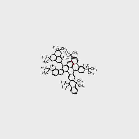 Cc1cc2c3c(c1)N(c1ccc(C(C)(C)C)cc1-c1ccc(C(C)(C)C)cc1)c1cc4c(cc1C3C1=C(c3cc(C(C)(C)C)ccc3C1)N2c1cc2c3c(c1)CC(C)(C)CC3CC(C)(C)C2)C(C)(C)c1ccccc1C4(C)C